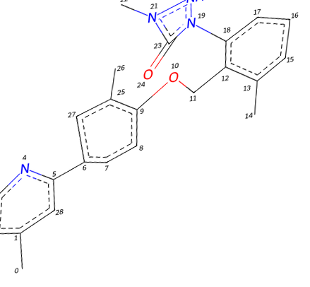 Cc1ccnc(-c2ccc(OCc3c(C)cccc3-n3[nH]n(C)c3=O)c(C)c2)c1